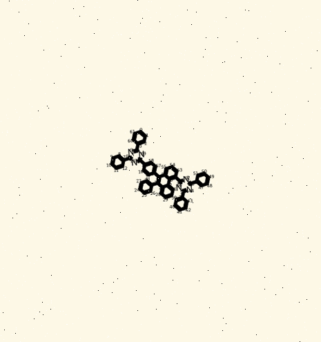 c1ccc(-c2nc(-c3ccccc3)nc(-c3ccc(-c4c(-c5ccccc5)c5ccccc5c5c(-c6nc(-c7ccccc7)nc(-c7ccccc7)n6)cccc45)cc3)n2)cc1